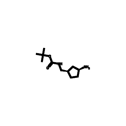 CC(C)(C)OC(=O)NC[C@@H]1CC[C@H](N)C1